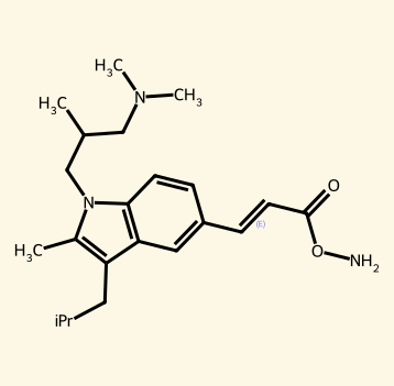 Cc1c(CC(C)C)c2cc(/C=C/C(=O)ON)ccc2n1CC(C)CN(C)C